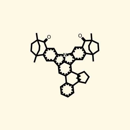 CC12CCC(C)(CC1)c1cc3c4cc5c(c6c7cc8c(cc7n(c3cc1C2=O)c46)C(=O)C1(C)CCC8(C)CC1)C12CCCC1(CCC2)c1ccccc1-5